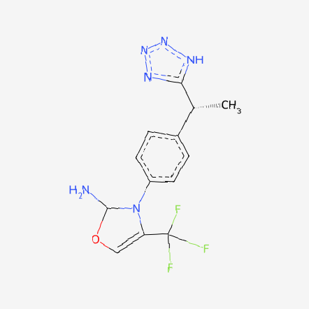 C[C@H](c1ccc(N2C(C(F)(F)F)=COC2N)cc1)c1nnn[nH]1